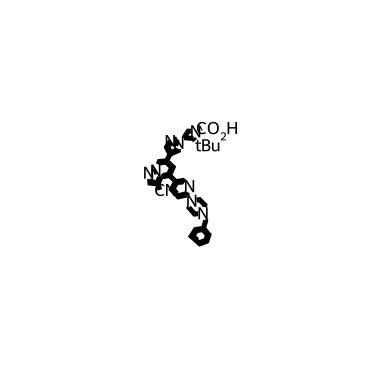 CC(C)(C)C1C(n2cc(-c3cc(-c4ccc(N5CCN(Cc6ccccc6)CC5)nc4)c4c(C#N)cnn4c3)cn2)CN1C(=O)O